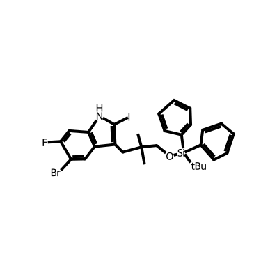 CC(C)(CO[Si](c1ccccc1)(c1ccccc1)C(C)(C)C)Cc1c(I)[nH]c2cc(F)c(Br)cc12